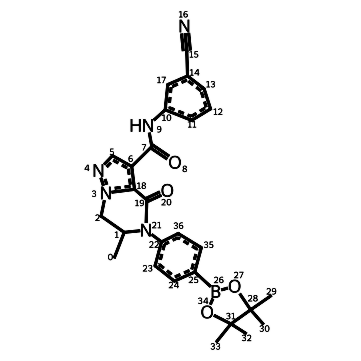 CC1Cn2ncc(C(=O)Nc3cccc(C#N)c3)c2C(=O)N1c1ccc(B2OC(C)(C)C(C)(C)O2)cc1